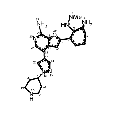 CNNc1c(N)cccc1-c1cc2c(-c3cnn(C4CCNCC4)c3)cnc(N)c2o1